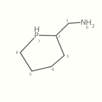 NCC1CCCCP1